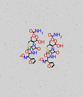 CO/N=C(\C(=O)N[C@@H]1C(=O)N2C(C(=O)O)=C(COC(N)=O)CS[C@H]12)c1ccco1.CO/N=C(\C(=O)N[C@@H]1C(=O)N2C(C(=O)O)=C(COC(N)=O)CS[C@H]12)c1ccco1